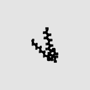 CCCCCCCCC1OCC2(CC)COC(CCCCCCCC)N12